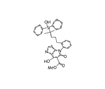 COC(=O)c1c(O)c2ncsc2n(-c2ccccc2CCCC(C)(C)[Si](O)(c2ccccc2)c2ccccc2)c1=O